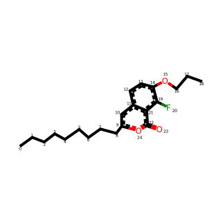 CCCCCCCCCc1cc2ccc(OCCC)c(F)c2c(=O)o1